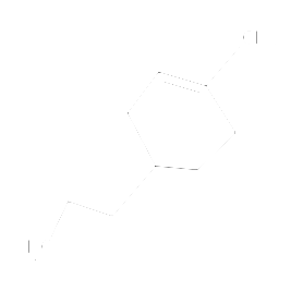 [CH2]CCC1CC=C(C)CC1